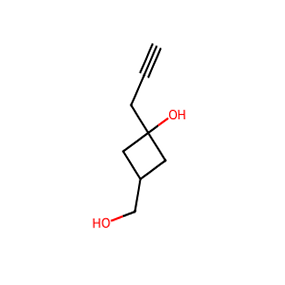 C#CCC1(O)CC(CO)C1